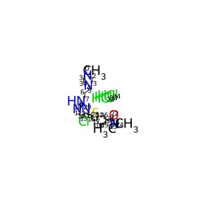 CN1CCN(CCCNc2ncc(Cl)c(-c3cc4ccc(C(=O)N(C)C)cc4s3)n2)CC1.Cl.Cl.Cl